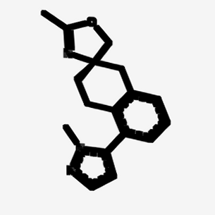 CC1=N[C@]2(CCc3c(cccc3-c3ccnn3C)C2)CO1